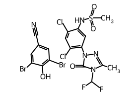 Cc1nn(-c2cc(NS(C)(=O)=O)c(Cl)cc2Cl)c(=O)n1C(F)F.N#Cc1cc(Br)c(O)c(Br)c1